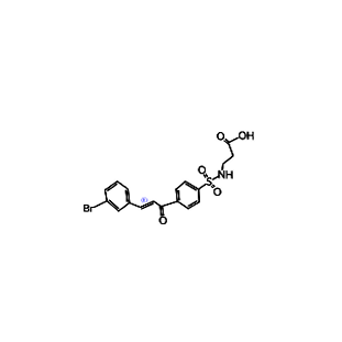 O=C(O)CCNS(=O)(=O)c1ccc(C(=O)/C=C/c2cccc(Br)c2)cc1